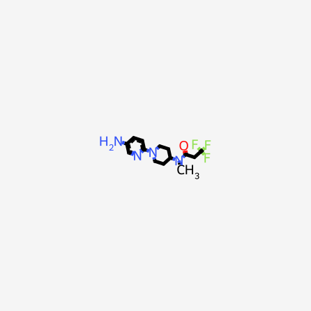 CN(C(=O)CC(F)(F)F)C1CCN(c2ccc(N)cn2)CC1